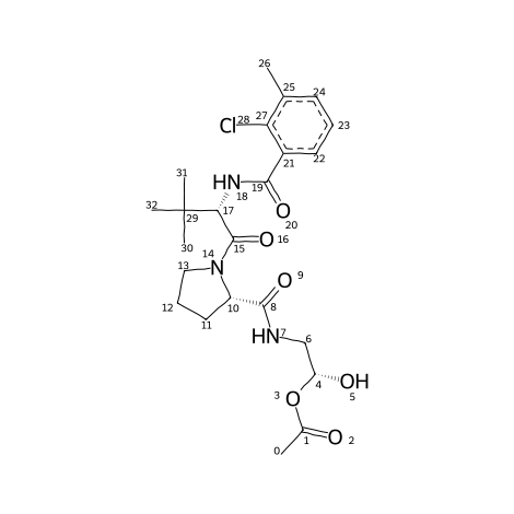 CC(=O)O[C@@H](O)CNC(=O)[C@@H]1CCCN1C(=O)[C@@H](NC(=O)c1cccc(C)c1Cl)C(C)(C)C